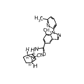 Cc1cccc(-n2ncc3cc(C(=O)N[C@@H]4C[C@@H]5CC[C@H]4N5C#N)cc(C)c32)n1